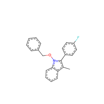 Cc1c(-c2ccc(F)cc2)n(OCc2ccccc2)c2ccccc12